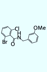 COc1cccc(CNC(=O)c2c(Cl)cccc2Br)c1